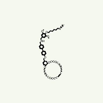 COc1cc(CNCc2ccc(-c3ccc(OCC4=C=C=C5OCCOCCOCCC/C=C\CCCOCCOCCOC5C4)cc3)cc2)cc(OC)c1OCCCCCCN=[N+]=[N-]